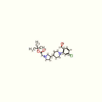 CC(C)(C)OC(=O)CN1CCC(C2CCN(c3cc(Cl)ccc3C=O)CC2)C1